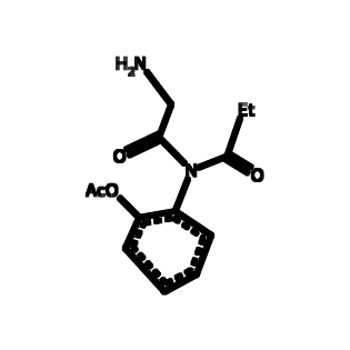 CCC(=O)N(C(=O)CN)c1ccccc1OC(C)=O